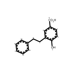 O=C(O)c1ccc(O)c(CCc2ccccc2)c1